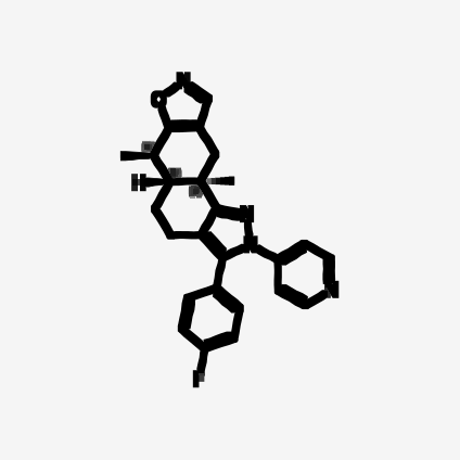 C[C@H]1c2oncc2C[C@@]2(C)c3nn(-c4ccncc4)c(-c4ccc(F)cc4)c3CC[C@H]12